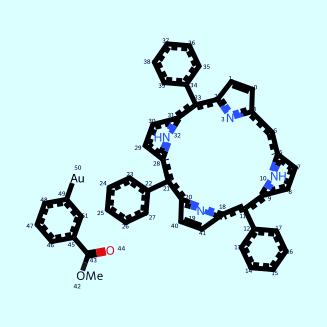 C1=Cc2nc1cc1ccc([nH]1)c(-c1ccccc1)c1nc(c(-c3ccccc3)c3ccc([nH]3)c2-c2ccccc2)C=C1.COC(=O)c1ccc[c]([Au])c1